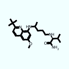 COc1cc(NC(C)CCCN[C@H](C(N)=O)C(C)C)c2nc(C(C)(C)C)ccc2c1